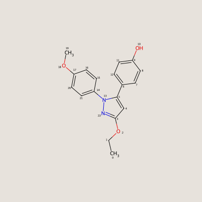 CCOc1cc(-c2ccc(O)cc2)n(-c2ccc(OC)cc2)n1